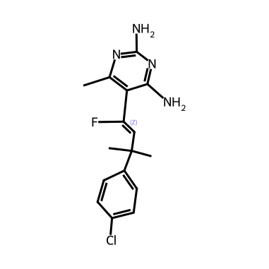 Cc1nc(N)nc(N)c1/C(F)=C/C(C)(C)c1ccc(Cl)cc1